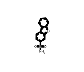 NS(=O)(=O)c1ccc2c(c1)oc1ccccc12